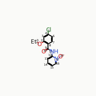 CCOc1cc(Cl)ccc1C(=O)Nc1cccc[n+]1[O-]